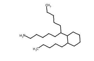 CCCCCC(CCCCCN)C1CCCCC1CCCCC